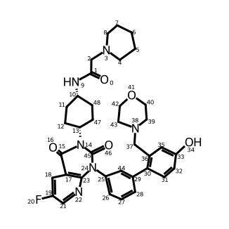 O=C(CN1CCCCC1)N[C@H]1CC[C@@H](n2c(=O)c3cc(F)cnc3n(-c3cccc(-c4ccc(O)cc4CN4CCOCC4)c3)c2=O)CC1